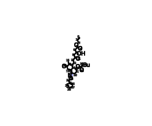 C=CCOC(=O)CC(O)CC(=O)CCC1C(C)C(=O)C=C2/C(=N/OCc3cccs3)CCC(OC(=O)C(C)CC)C21